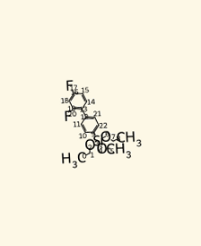 CCO[Si](OC)(OCC)c1ccc(-c2ccc(F)cc2F)cc1